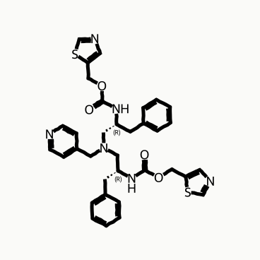 O=C(N[C@H](Cc1ccccc1)CN(Cc1ccncc1)C[C@@H](Cc1ccccc1)NC(=O)OCc1cncs1)OCc1cncs1